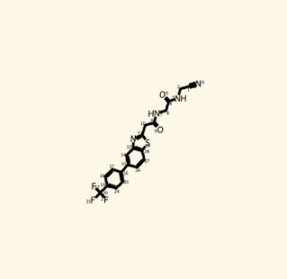 N#CCNC(=O)CNC(=O)Cc1nc2cc(-c3ccc(C(F)(F)F)cc3)ccc2s1